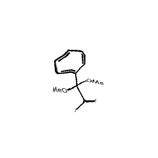 COC(OC)(c1ccccc1)C(I)I